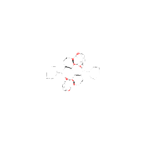 c1cc(P(C2CCCCC2)C2CCCCC2)c(-c2c(P(C3CCCCC3)C3CCCCC3)ccc3c2OCO3)c2c1OCO2